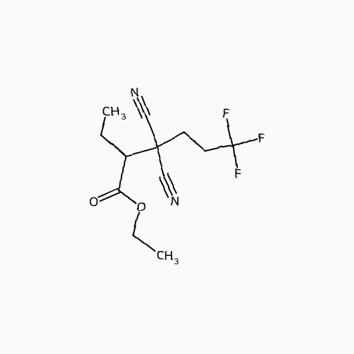 CCOC(=O)C(CC)C(C#N)(C#N)CCC(F)(F)F